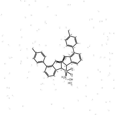 CCC1=Cc2c(-c3ccc(C)cc3)cccc2[CH]1[Zr](=[SiH2])([CH2]C)([CH2]C)[CH]1C(C)=Cc2c(-c3ccc(C)cc3)cccc21.Cl.Cl